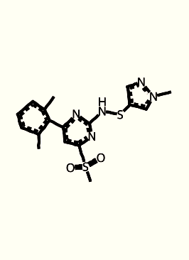 Cc1cccc(C)c1-c1cc(S(C)(=O)=O)nc(NSc2cnn(C)c2)n1